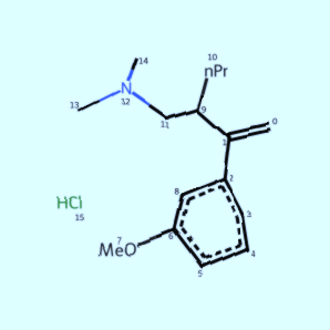 C=C(c1cccc(OC)c1)C(CCC)CN(C)C.Cl